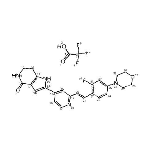 O=C(O)C(F)(F)F.O=C1NCCc2[nH]c(-c3ccnc(C=Cc4ccc(N5CCOCC5)cc4F)c3)cc21